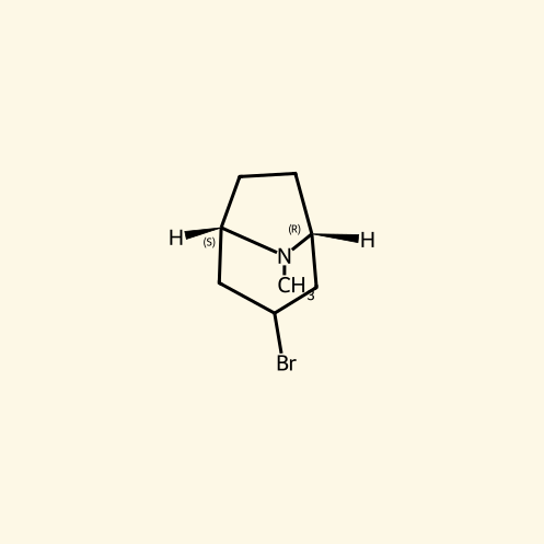 CN1[C@@H]2CC[C@H]1CC(Br)C2